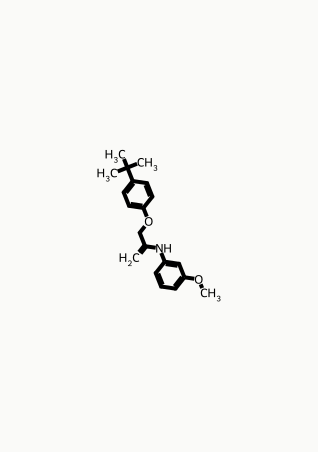 C=C(COc1ccc(C(C)(C)C)cc1)Nc1cccc(OC)c1